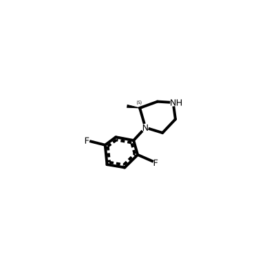 C[C@H]1CNCCN1c1cc(F)ccc1F